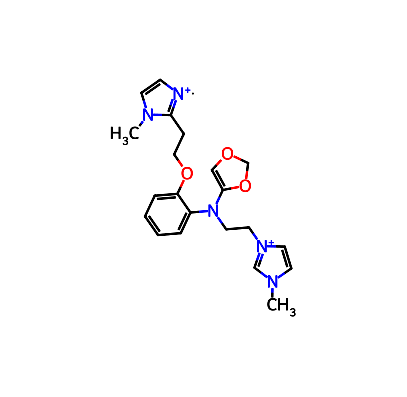 CN1C=C[N+]=C1CCOc1ccccc1N(CC[n+]1ccn(C)c1)C1=COCO1